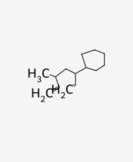 C=CC(C)CC(C=C)C1CCCCC1